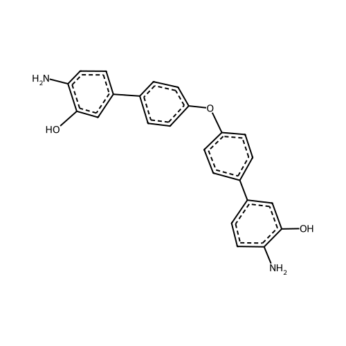 Nc1ccc(-c2ccc(Oc3ccc(-c4ccc(N)c(O)c4)cc3)cc2)cc1O